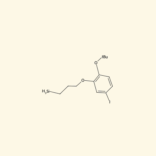 CC(C)(C)Oc1ccc(I)cc1OCCC[SiH3]